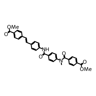 COC(=O)c1ccc(/C=C/c2ccc(NC(=O)c3ccc(N(C)C(=O)c4ccc(C(=O)OC)cc4)cc3)cc2)cc1